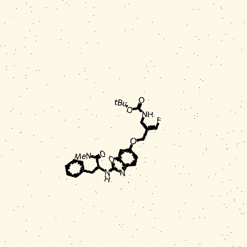 CNC(=O)C(Cc1ccccc1)Nc1nc2ccc(OCC(=CF)CNC(=O)OC(C)(C)C)cc2o1